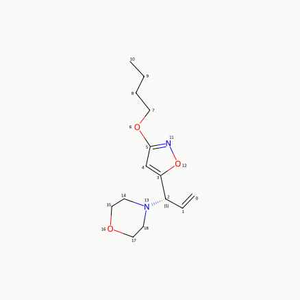 C=C[C@@H](c1cc(OCCCC)no1)N1CCOCC1